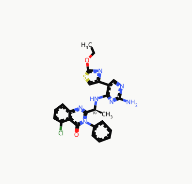 CCOc1nc(-c2cnc(N)nc2N[C@@H](C)c2nc3cccc(Cl)c3c(=O)n2-c2ccccc2)cs1